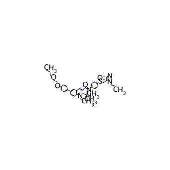 CCCCOCCOc1ccc(-c2ccc(N(CC)CC(C)C)c(/C=C/C(=O)Nc3ccc([S+]([O-])Cc4cncn4CCC)cc3)c2)cc1